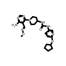 CON=Cc1c(N)ncnc1N1CCC(NC(=O)Nc2ccc(OC3CCCC3)nc2)CC1